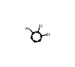 CCc1cccc([As])c1CC